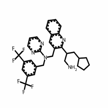 NCC(CC1CCCC1)c1nc2ccccc2cc1CN(Cc1cc(C(F)(F)F)cc(C(F)(F)F)c1)c1ncccn1